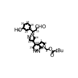 CC(C)(C)C(=O)OCn1ccc2c(-c3cnn(C(CC=O)c4cccc(O)c4)c3)cnnc21